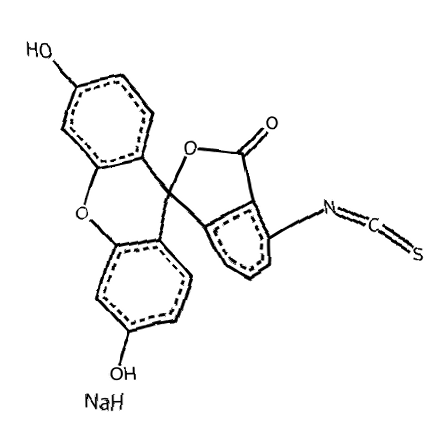 O=C1OC2(c3ccc(O)cc3Oc3cc(O)ccc32)c2cccc(N=C=S)c21.[NaH]